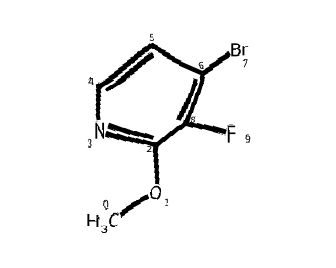 COc1nccc(Br)c1F